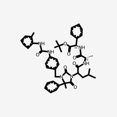 Cc1ccccc1NC(=O)Nc1ccc(CN2C(=O)N(C(CC(C)C)C(=O)N[C@@H](C)C(=O)N[C@H](C(=O)OC(C)(C)C)c3ccccc3)C(=O)C2(C)c2ccccc2)cc1